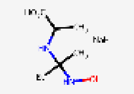 CCC(C)(NO)NC(C)C(=O)O.[NaH]